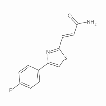 NC(=O)C=Cc1nc(-c2ccc(F)cc2)cs1